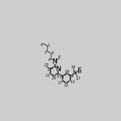 CCCCCN(C)c1nc(-c2cccc(C(C)(C)F)c2)ccc1C